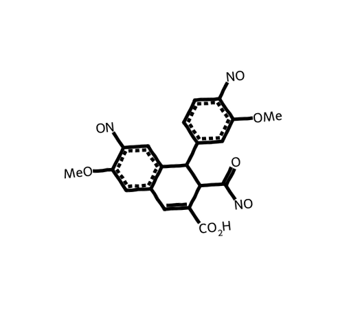 COc1cc(C2c3cc(N=O)c(OC)cc3C=C(C(=O)O)C2C(=O)N=O)ccc1N=O